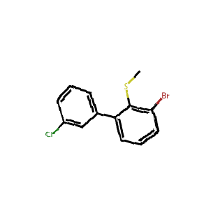 CSc1c(Br)cccc1-c1cccc(Cl)c1